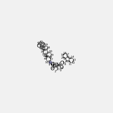 CC(C)[C@H](NC(=O)OCC1c2ccccc2-c2ccccc21)C(=O)O/N=C1\C=C2CCC3C(CC[C@@]4(C)C3CC[C@@H]4C3(C)OCCO3)[C@@]2(C)CC1